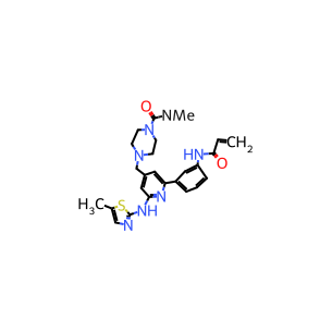 C=CC(=O)Nc1cccc(-c2cc(CN3CCN(C(=O)NC)CC3)cc(Nc3ncc(C)s3)n2)c1